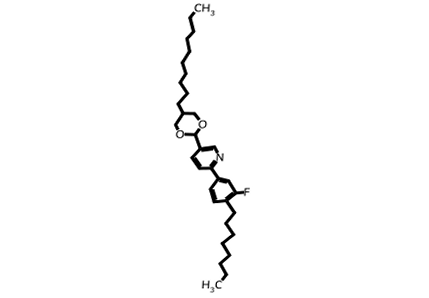 CCCCCCCCCCC1COC(c2ccc(-c3ccc(CCCCCCCC)c(F)c3)nc2)OC1